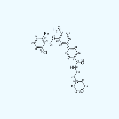 Nc1ncc(-c2ccc(C(=O)NCCN3CCOCC3)cc2)cc1OCc1c(F)cccc1Cl